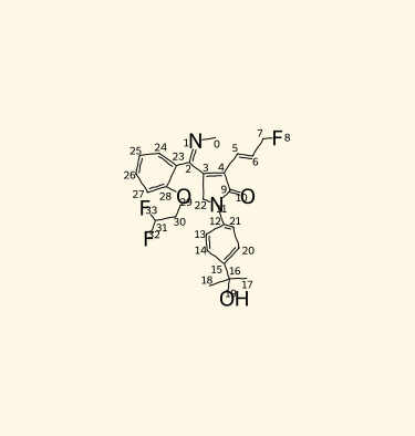 C/N=C(C1=C(/C=C/CF)C(=O)N(c2ccc(C(C)(C)O)cc2)C1)/c1ccccc1OCC(F)F